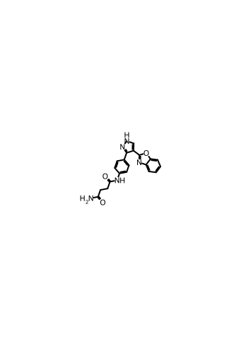 NC(=O)CCC(=O)Nc1ccc(-c2n[nH]cc2-c2nc3ccccc3o2)cc1